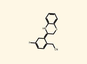 N#CCC1=CC=C(F)CC1=C1CSc2ccccc2N1